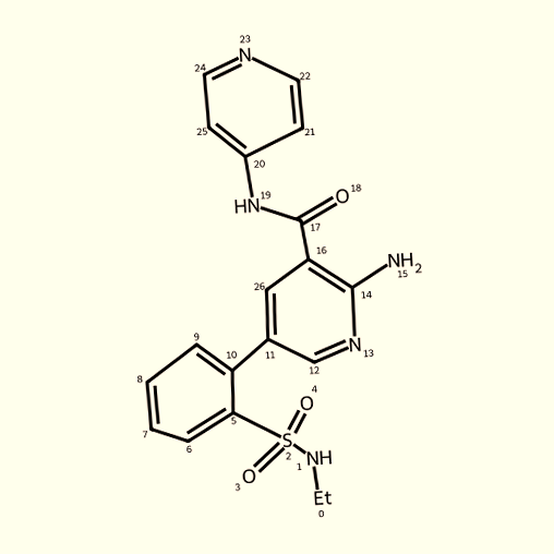 CCNS(=O)(=O)c1ccccc1-c1cnc(N)c(C(=O)Nc2ccncc2)c1